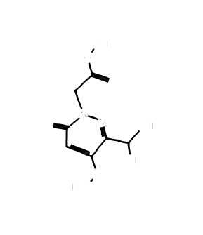 COC(=O)Cn1nc(C(C)C)c(OC)cc1=O